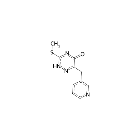 CSc1nc(=O)c(Cc2cccnc2)n[nH]1